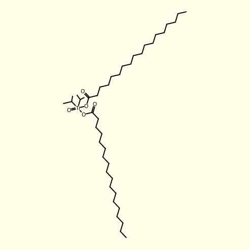 CCCCCCCCCCCCCCCCCC(=O)[O][Ti](=[O])([O]C(=O)CCCCCCCCCCCCCCCCC)([CH](C)C)[CH](C)C